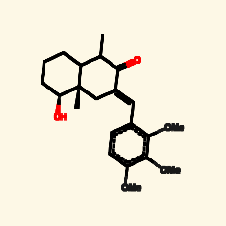 COc1ccc(C=C2C[C@@]3(C)C(CCC[C@@H]3O)C(C)C2=O)c(OC)c1OC